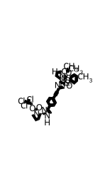 Cc1ccc(S(=O)(=O)n2cc(C#Cc3ccc(-c4c[nH]c([C@@H]5CCCN5C(=O)OCC(Cl)(Cl)Cl)n4)cc3)nc2[C@@H]2CCCN2C(=O)OC(C)(C)C)cc1